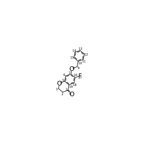 O=C1CCOc2cc(OCc3ccccc3)c(F)cc21